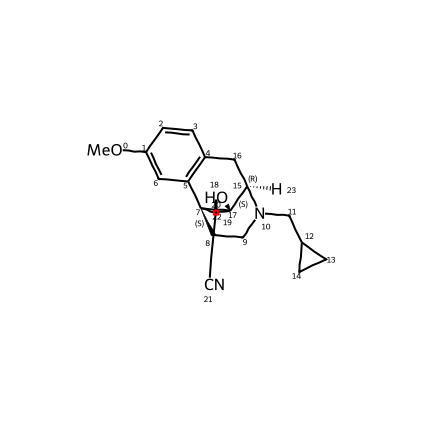 COc1ccc2c(c1)[C@]13CCN(CC4CC4)[C@H](C2)[C@]1(O)CC(C#N)C3